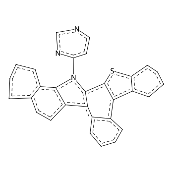 c1ccc2c(c1)ccc1c3c4ccccc4c4c5ccccc5sc4c3n(-c3ccncn3)c21